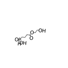 O=C(CCC[PH](=O)O)OCCO